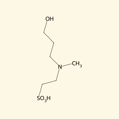 CN(CCCO)CCS(=O)(=O)O